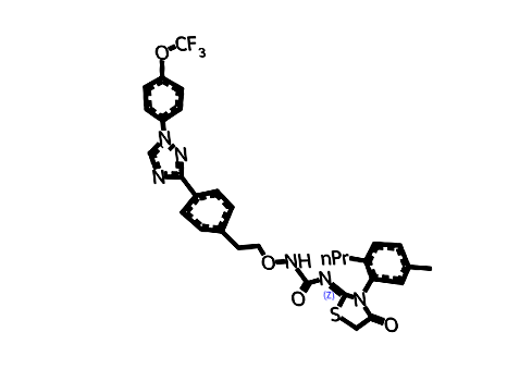 CCCc1ccc(C)cc1N1C(=O)CS/C1=N\C(=O)NOCCc1ccc(-c2ncn(-c3ccc(OC(F)(F)F)cc3)n2)cc1